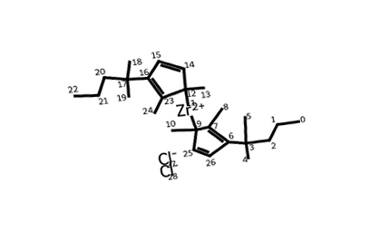 CCCC(C)(C)C1=C(C)[C](C)([Zr+2][C]2(C)C=CC(C(C)(C)CCC)=C2C)C=C1.[Cl-].[Cl-]